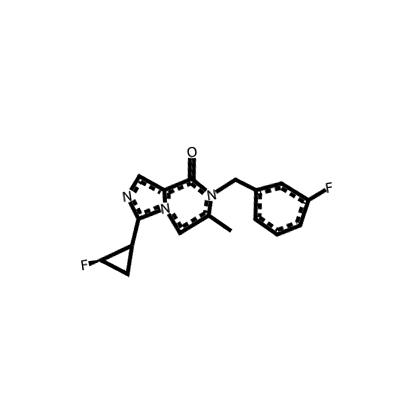 Cc1cn2c(C3C[C@H]3F)ncc2c(=O)n1Cc1cccc(F)c1